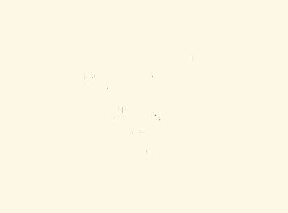 Cc1c(Cl)ccc2cc(C(=O)O)n(C(C)(N)CC(=O)OC(C)(C)C)c12